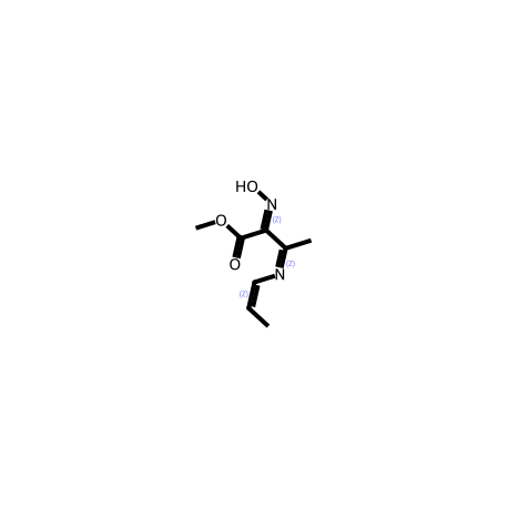 C\C=C/N=C(C)\C(=N\O)C(=O)OC